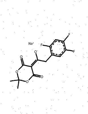 CC1(C)OC(=O)C(=C([O-])Cc2cc(F)c(F)cc2F)C(=O)O1.[Na+]